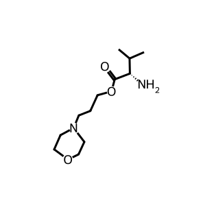 CC(C)[C@H](N)C(=O)OCCCN1CCOCC1